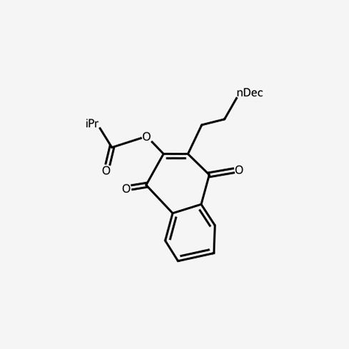 CCCCCCCCCCCCC1=C(OC(=O)C(C)C)C(=O)c2ccccc2C1=O